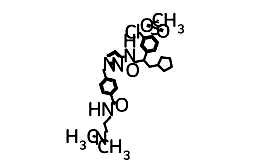 CN(C)CCCNC(=O)c1ccc(Cn2ccc(NC(=O)C(CC3CCCC3)c3ccc(S(C)(=O)=O)c(Cl)c3)n2)cc1